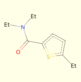 CCc1ccc(C(=O)N(CC)CC)s1